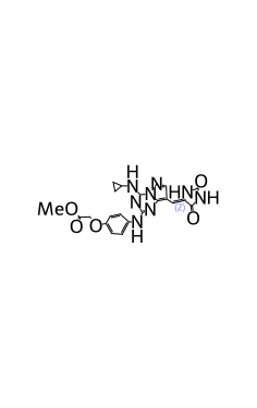 COC(=O)COc1ccc(Nc2nc(NC3CC3)n3ncc(/C=C4\NC(=O)NC4=O)c3n2)cc1